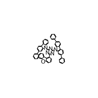 c1ccc(-c2ccc3c4ccccc4n(-c4nc(-c5cccc6oc7ccccc7c56)nc(-n5c6cc(-c7ccccc7)ccc6c6ccc(-c7ccccc7)cc65)n4)c3c2)cc1